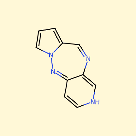 C1=CC2=Nn3cccc3C=NC2=CN1